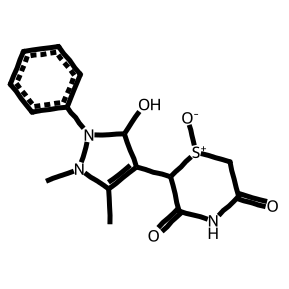 CC1=C(C2C(=O)NC(=O)C[S+]2[O-])C(O)N(c2ccccc2)N1C